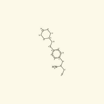 NC(CF)Cc1ccc(SCC2CCOCC2)cc1